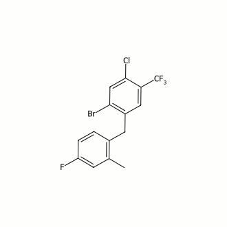 Cc1cc(F)ccc1Cc1cc(C(F)(F)F)c(Cl)cc1Br